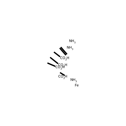 C=C.CC(=O)O.CC(=O)O.CC(=O)O.CC(=O)O.N.N.N.[Fe]